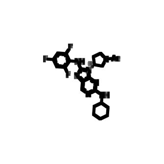 CC(=O)N1CC[C@@H](n2c(Nc3c(F)cc(F)cc3F)nc3cnc(NC4CCCCC4)nc32)C1